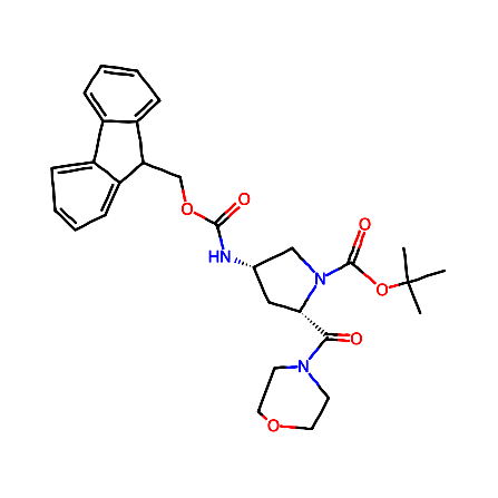 CC(C)(C)OC(=O)N1C[C@@H](NC(=O)OCC2c3ccccc3-c3ccccc32)C[C@H]1C(=O)N1CCOCC1